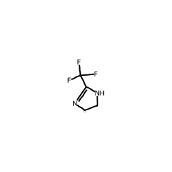 FC(F)(F)C1=N[C]CN1